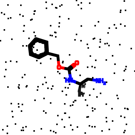 CC(C)[C@H](CN)NC(=O)OCc1ccccc1